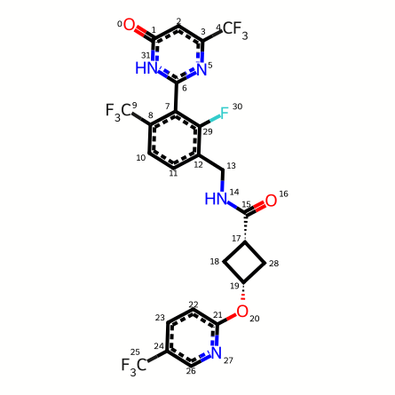 O=c1cc(C(F)(F)F)nc(-c2c(C(F)(F)F)ccc(CNC(=O)[C@H]3C[C@@H](Oc4ccc(C(F)(F)F)cn4)C3)c2F)[nH]1